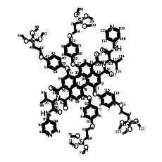 CO[Si](CCOc1ccc(Oc2cc3c4c(cc(Oc5ccc(OCC[Si](OC)(OC)OC)cc5)c5c6c(Oc7ccc(OCC[Si](OC)(OC)OC)cc7)cc7c8c(cc(Oc9ccc(OCC[Si](OC)(OC)OC)cc9)c(c2c45)c86)C(=O)N(C(C(=O)Nc2ccncc2)C(C)C)C7=O)C(=O)N(C(C(=O)Nc2ccncc2)C(C)C)C3=O)cc1)(OC)OC